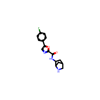 O=C(NC1CC2CNC1C2)c1ncc(-c2ccc(F)cc2)o1